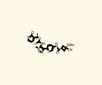 CO[C@]1(C#N)C[C@@H](C(=O)Nc2ccc(-c3nnn(C)c3NC(=O)O[C@H](C)c3cccnc3Cl)nc2)C1